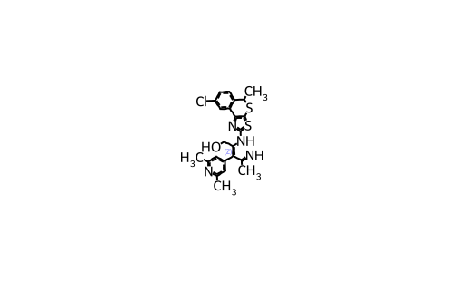 CC(=N)/C(=C(/CO)Nc1nc2c(s1)SC(C)c1ccc(Cl)cc1-2)c1cc(C)nc(C)c1